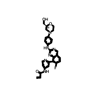 C=CC(=O)Nc1ccnc(-c2c(F)ccc3cnc(Nc4ccc(N5CCO[C@H](CO)C5)cc4)nc23)c1